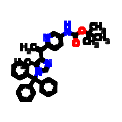 C=C(c1ccc(NC(=O)OC(C)(C)C)cn1)c1ncn(C(c2ccccc2)(c2ccccc2)c2ccccc2)c1C